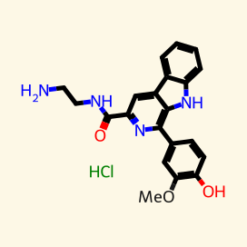 COc1cc(-c2nc(C(=O)NCCN)cc3c2[nH]c2ccccc23)ccc1O.Cl